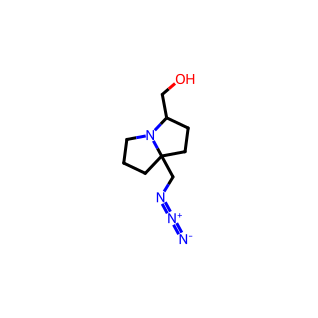 [N-]=[N+]=NCC12CCCN1C(CO)CC2